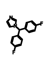 Fc1ccc(C(c2ccc(F)cc2)n2ccnc2)cc1